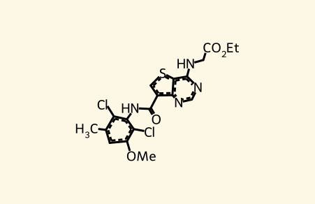 CCOC(=O)CNc1ncnc2c(C(=O)Nc3c(Cl)c(C)cc(OC)c3Cl)csc12